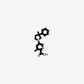 Cc1cc(N2CCC(C)(c3ccccc3)C2)cnc1C(=O)O